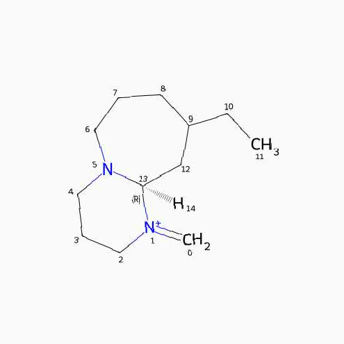 C=[N+]1CCCN2CCCC(CC)C[C@H]21